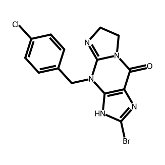 O=C1c2nc(Br)[nH]c2N(Cc2ccc(Cl)cc2)C2=NCCN12